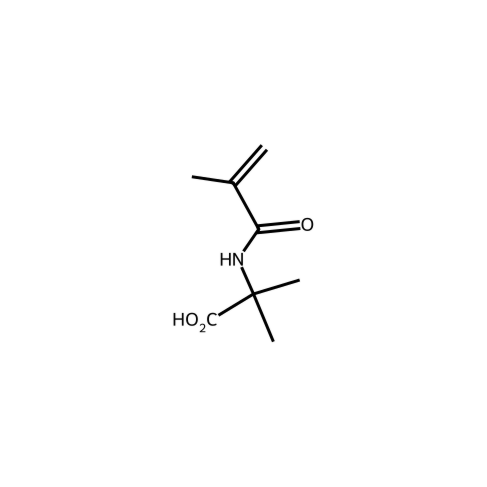 C=C(C)C(=O)NC(C)(C)C(=O)O